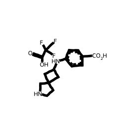 O=C(O)C(F)(F)F.O=C(O)c1ccc(NC2CC3(CCNC3)C2)cc1